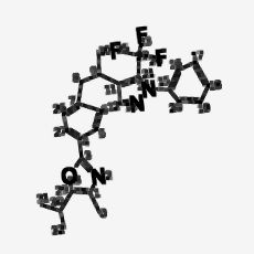 Cc1nc(-c2ccc(CC(C)c3cnn(-c4ccccc4)c3C(F)(F)F)cc2)oc1C(C)C